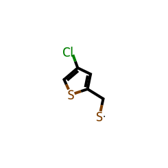 [S]Cc1cc(Cl)cs1